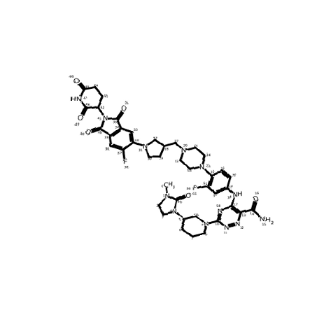 CN1CCN([C@@H]2CCCN(c3nnc(C(N)=O)c(Nc4ccc(N5CCN(CC6CCN(c7cc8c(cc7F)C(=O)N(C7CCC(=O)NC7=O)C8=O)C6)CC5)c(F)c4)n3)C2)C1=O